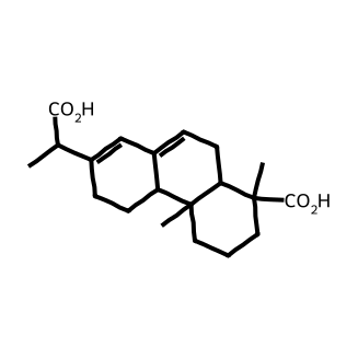 CC(C(=O)O)C1=CC2=CCC3C(C)(C(=O)O)CCCC3(C)C2CC1